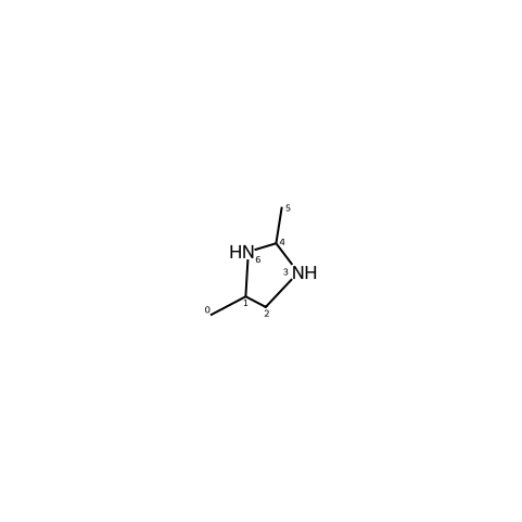 CC1CNC(C)N1